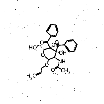 C=CCO[C@H]1O[C@H](CO)[C@](O)(C(=O)c2ccccc2)[C@@](O)(C(=O)c2ccccc2)[C@H]1NC(C)=O